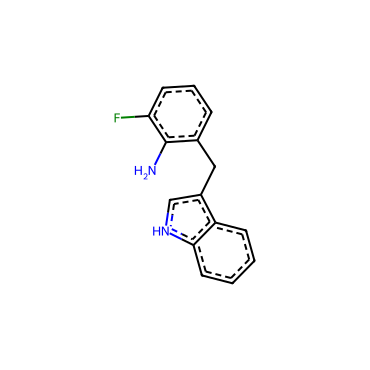 Nc1c(F)cccc1Cc1c[nH]c2ccccc12